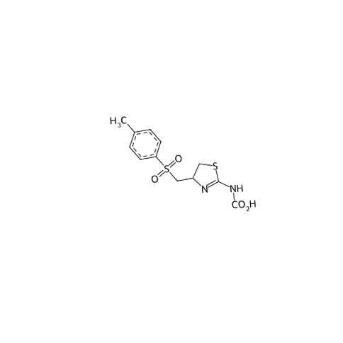 Cc1ccc(S(=O)(=O)CC2CSC(NC(=O)O)=N2)cc1